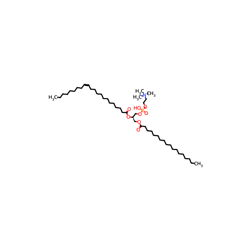 CCCCCCCC/C=C\CCCCCCCCCCCC(=O)O[C@H](COC(=O)CCCCCCCCCCCCCCCCC)COP(=O)(O)OCC[N+](C)(C)C